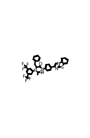 CC(=O)N(c1cc(C(F)(F)F)cc(C(F)(F)F)c1)C(Cc1ccccc1)C(=O)Nc1ccc(-c2cn3c(n2)sc2ccccc23)cc1